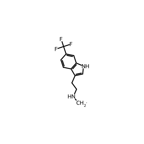 [CH2]NCCc1c[nH]c2cc(C(F)(F)F)ccc12